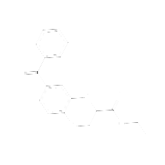 CCOC(=O)C1COc2ccc(C(=O)c3ccccc3)cc2O1